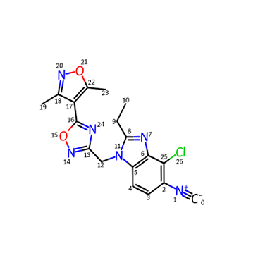 [C-]#[N+]c1ccc2c(nc(CC)n2Cc2noc(-c3c(C)noc3C)n2)c1Cl